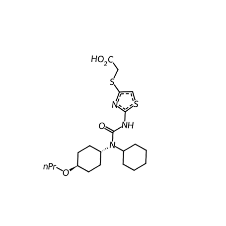 CCCO[C@H]1CC[C@H](N(C(=O)Nc2nc(SCC(=O)O)cs2)C2CCCCC2)CC1